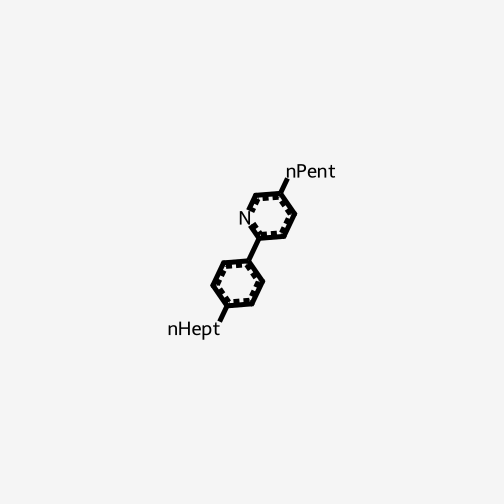 CCCCCCCc1ccc(-c2ccc(CCCCC)cn2)cc1